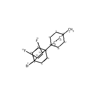 CC12CCC(C34CCC(Br)(CC3)C(F)=C4F)(CC1)CC2